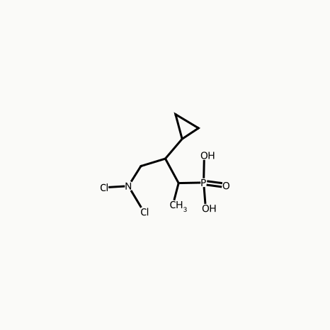 CC(C(CN(Cl)Cl)C1CC1)P(=O)(O)O